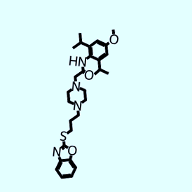 COc1cc(C(C)C)c(NC(=O)CN2CCN(CCCSc3nc4ccccc4o3)CC2)c(C(C)C)c1